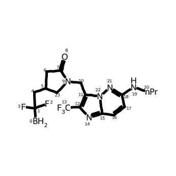 BC(F)(F)CC1CC(=O)N(Cc2c(C(F)(F)F)nc3ccc(NCCC)nn23)C1